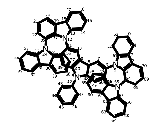 C1=Cc2c3c(n(C4=CC5c6cc(-n7c8ccccc8c8cccc(-n9c%10ccccc%10c%10ccccc%109)c87)ccc6N(c6ccccc6)C5C=C4)c2CC1)C(n1c2ccccc2c2ccccc21)CC=C3